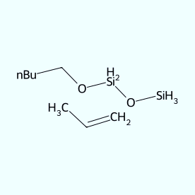 C=CC.CCCCCO[SiH2]O[SiH3]